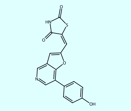 O=C1NC(=O)/C(=C\c2cc3cncc(-c4ccc(O)cc4)c3o2)S1